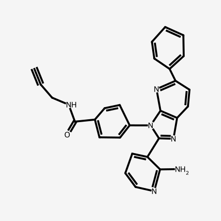 C#CCNC(=O)c1ccc(-n2c(-c3cccnc3N)nc3ccc(-c4ccccc4)nc32)cc1